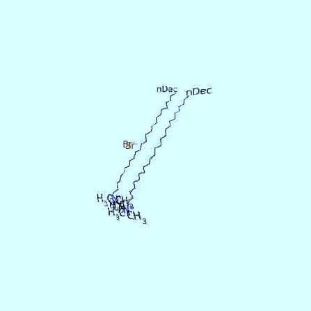 CCCCCCCCCCCCCCCCCCCCCCCCCCCCCCCCCCCCC[N+](C)(C)C.CCCCCCCCCCCCCCCCCCCCCCCCCCCCCCCCCCCC[N+](C)(C)C.[Br-].[Br-]